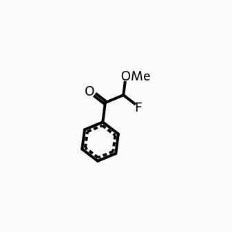 COC(F)C(=O)c1ccccc1